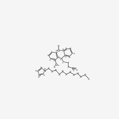 BCCCC(c1ccccc1OC)c1ccccc1OC.CCCCCCCCCCCCn1ccnc1